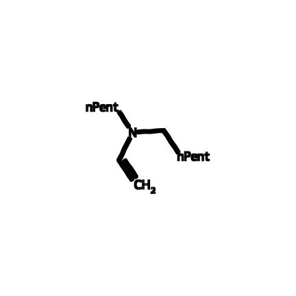 C=CN(CCCCC)CCCCCC